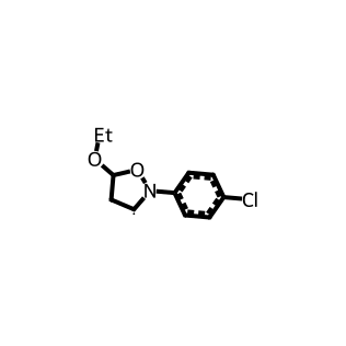 CCOC1C[CH]N(c2ccc(Cl)cc2)O1